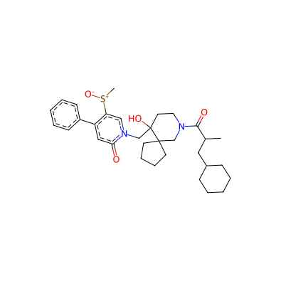 CC(CC1CCCCC1)C(=O)N1CCC(O)(Cn2cc([S+](C)[O-])c(-c3ccccc3)cc2=O)C2(CCCC2)C1